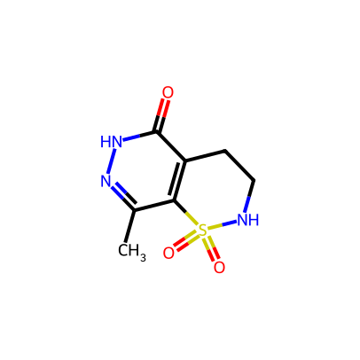 Cc1n[nH]c(=O)c2c1S(=O)(=O)NCC2